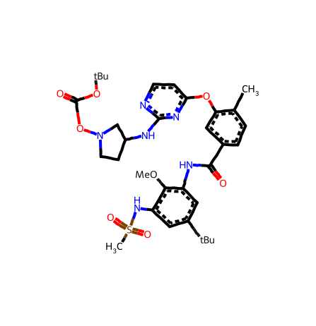 COc1c(NC(=O)c2ccc(C)c(Oc3ccnc(NC4CCN(OC(=O)OC(C)(C)C)C4)n3)c2)cc(C(C)(C)C)cc1NS(C)(=O)=O